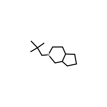 CC(C)(C)CN1CCC2CCCC2C1